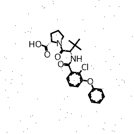 CC(C)(C)[C@H](NC(=O)c1cccc(Oc2ccccc2)c1Cl)C(=O)N1CCC[C@H]1C(=O)O